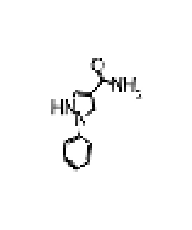 NC(=O)C1=CNN(c2ccccc2)C1